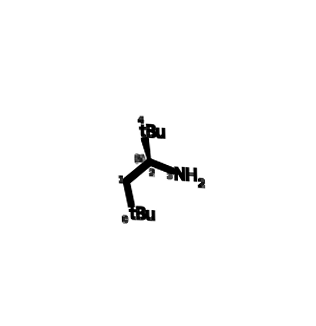 CC(C)(C)C[C@H](N)C(C)(C)C